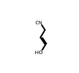 [C-]#[N+]CC=CO